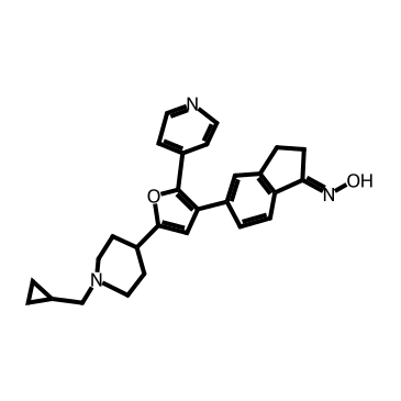 ON=C1CCc2cc(-c3cc(C4CCN(CC5CC5)CC4)oc3-c3ccncc3)ccc21